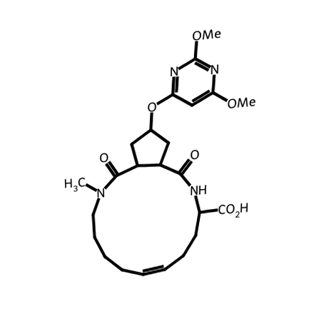 COc1cc(OC2CC3C(=O)NC(C(=O)O)CCC=CCCCCN(C)C(=O)C3C2)nc(OC)n1